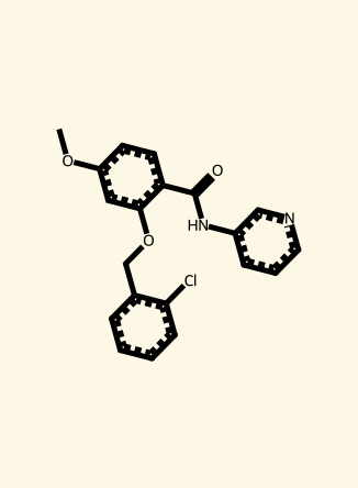 COc1ccc(C(=O)Nc2cccnc2)c(OCc2ccccc2Cl)c1